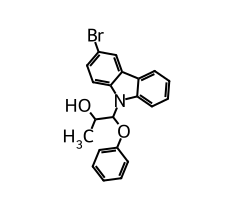 CC(O)C(Oc1ccccc1)n1c2ccccc2c2cc(Br)ccc21